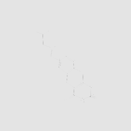 CC(C)COCc1ccc2c(c1)Cc1c([nH]c(=O)[nH]c1=O)O2